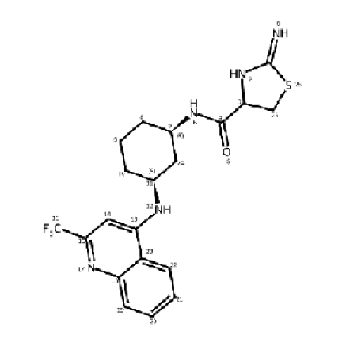 N=C1NC(C(=O)N[C@@H]2CCC[C@H](Nc3cc(C(F)(F)F)nc4ccccc34)C2)CS1